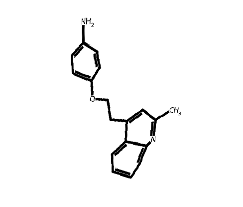 Cc1cc(CCOc2ccc(N)cc2)c2ccccc2n1